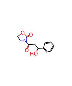 O=C(C[C@H](O)c1ccccc1)N1CCOC1=O